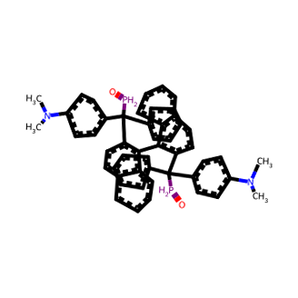 CN(C)c1ccc(C([PH2]=O)(c2ccccc2)c2ccc3ccccc3c2-c2c(C([PH2]=O)(c3ccccc3)c3ccc(N(C)C)cc3)ccc3ccccc23)cc1